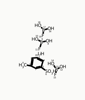 Cc1cccc(S(=O)(=O)O)c1.OB(O)F.OB(O)F.OB(O)F.[LiH]